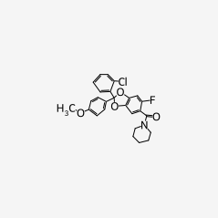 COc1ccc(C2(c3ccccc3Cl)Oc3cc(F)c(C(=O)N4CCCCC4)cc3O2)cc1